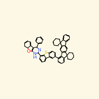 C1=CCC2OC3=C(C2=C1)C(c1ccccc1)=NC(c1cccc2c1sc1ccc(-c4cccc5c4-c4cc6c(cc4C54CCCCC4)-c4ccccc4C64CCCCC4)cc12)N3